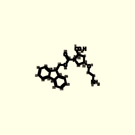 NCCO[C@H]1C[C@H](C(=O)O)N(C(=O)OCC2c3ccccc3-c3ccccc32)C1